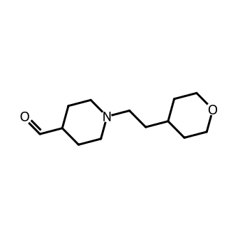 O=CC1CCN(CCC2CCOCC2)CC1